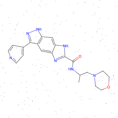 CC(CN1CCOCC1)NC(=O)c1nc2cc3c(-c4ccncc4)n[nH]c3cc2[nH]1